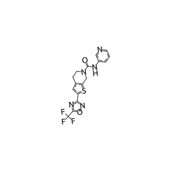 O=C(Nc1cccnc1)N1CCc2cc(-c3noc(C(F)(F)F)n3)sc2C1